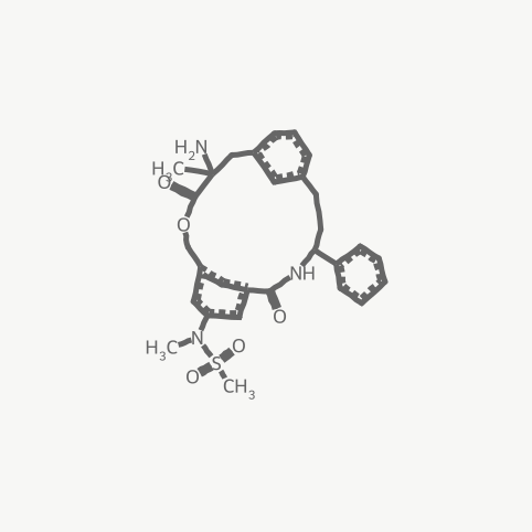 CN(c1cc2cc(c1)C(=O)NC(c1ccccc1)CCc1cccc(c1)CC(C)(N)C(=O)OC2)S(C)(=O)=O